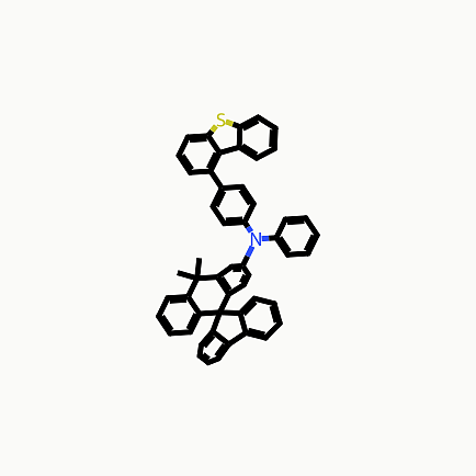 CC1(C)c2ccccc2C2(c3ccccc3-c3ccccc32)c2ccc(N(c3ccccc3)c3ccc(-c4cccc5sc6ccccc6c45)cc3)cc21